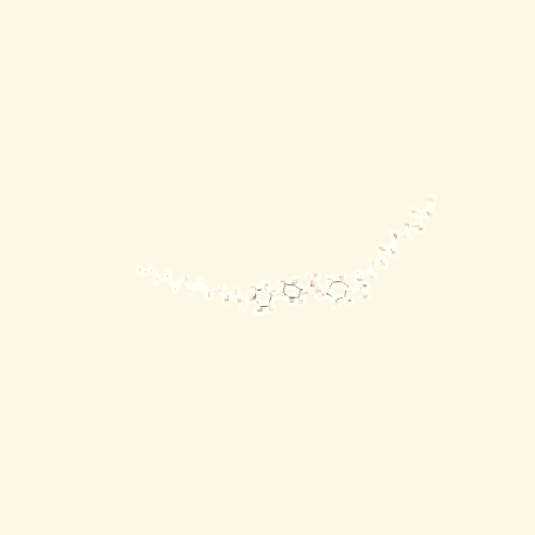 CCCCCCCCCCCCOc1ccc(-c2ccc(C(=O)Oc3ccc(C(C)OCCCCCCCCCCCC)cc3)cc2)cc1